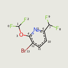 FC(F)Oc1nc(C(F)F)ccc1Br